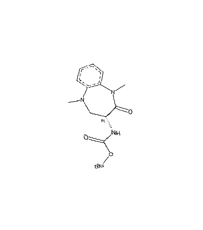 CN1C[C@@H](NC(=O)OC(C)(C)C)C(=O)N(C)c2ccccc21